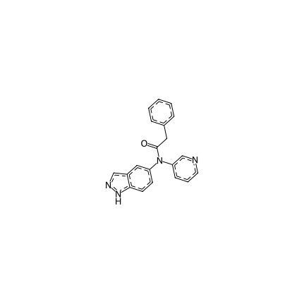 O=C(Cc1ccccc1)N(c1cccnc1)c1ccc2[nH]ncc2c1